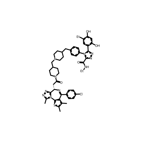 CCNC(=O)c1nnc(-c2cc(CC)c(O)cc2O)n1-c1ccc(CC2CCN(CC3CCN(C(=O)C[C@@H]4N=C(c5ccc(Cl)cc5)c5c(sc(C)c5C)-n5c(C)nnc54)CC3)CC2)cc1